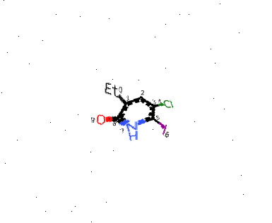 CCc1cc(Cl)c(I)[nH]c1=O